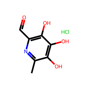 Cc1nc(C=O)c(O)c(O)c1O.Cl